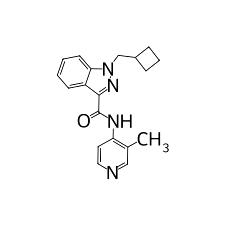 Cc1cnccc1NC(=O)c1nn(CC2CCC2)c2ccccc12